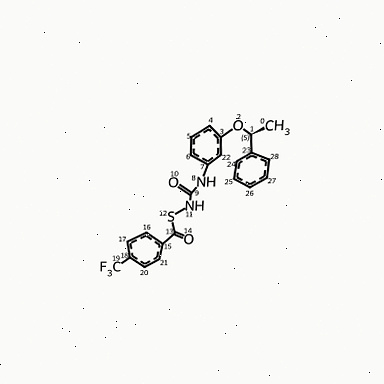 C[C@H](Oc1cccc(NC(=O)NSC(=O)c2ccc(C(F)(F)F)cc2)c1)c1ccccc1